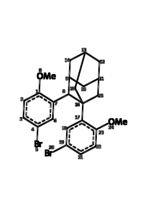 COc1ccc(Br)cc1C1C2CC3CC(C2)CC1(c1cc(Br)ccc1OC)C3